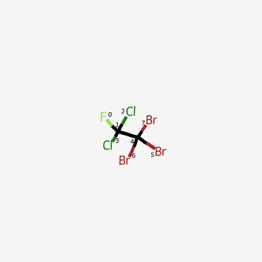 FC(Cl)(Cl)C(Br)(Br)Br